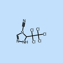 N#CN1C=NNC1C(Cl)(Cl)C(Cl)(Cl)Cl